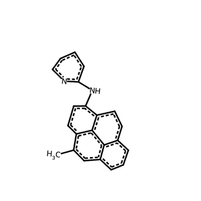 Cc1cc2cccc3ccc4c(Nc5ccccn5)ccc1c4c32